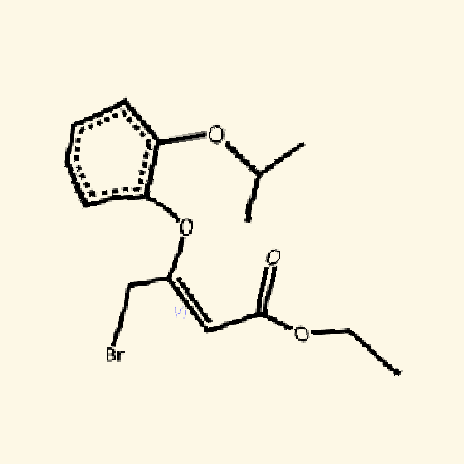 CCOC(=O)/C=C(/CBr)Oc1ccccc1OC(C)C